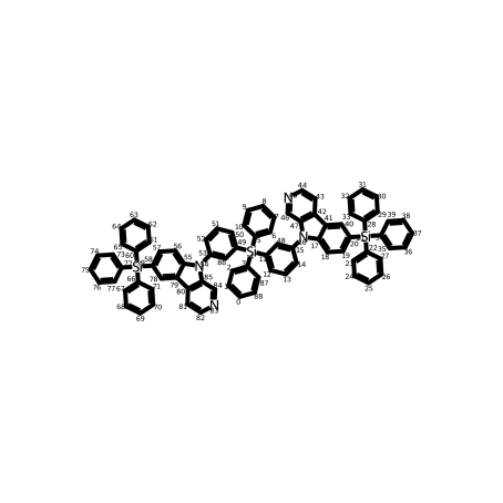 c1ccc([Si](c2ccccc2)(c2cccc(-n3c4ccc([Si](c5ccccc5)(c5ccccc5)c5ccccc5)cc4c4ccncc43)c2)c2cccc(-n3c4ccc([Si](c5ccccc5)(c5ccccc5)c5ccccc5)cc4c4ccncc43)c2)cc1